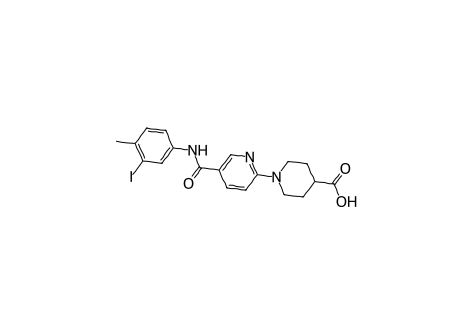 Cc1ccc(NC(=O)c2ccc(N3CCC(C(=O)O)CC3)nc2)cc1I